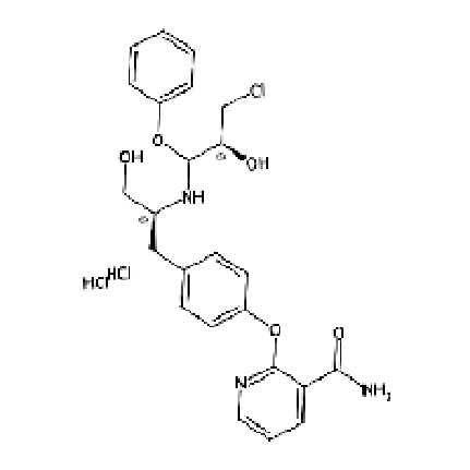 Cl.Cl.NC(=O)c1cccnc1Oc1ccc(C[C@@H](CO)NC(Oc2ccccc2)[C@H](O)CCl)cc1